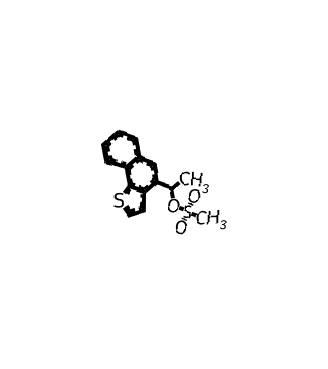 CC(OS(C)(=O)=O)c1cc2ccccc2c2sccc12